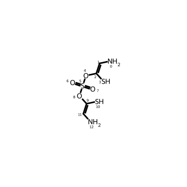 NC=C(S)OS(=O)(=O)OC(S)=CN